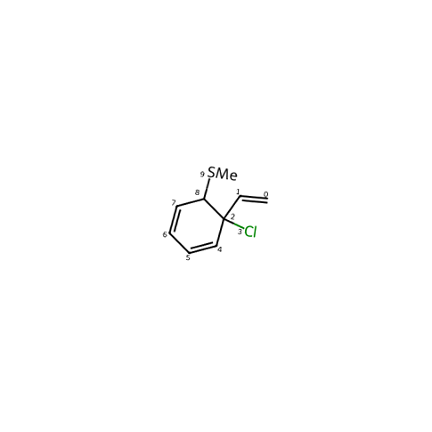 C=CC1(Cl)C=CC=CC1SC